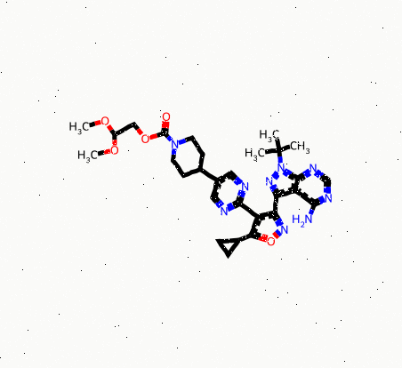 COC(COC(=O)N1CCC(c2cnc(-c3c(-c4nn(C(C)(C)C)c5ncnc(N)c45)noc3C3CC3)nc2)CC1)OC